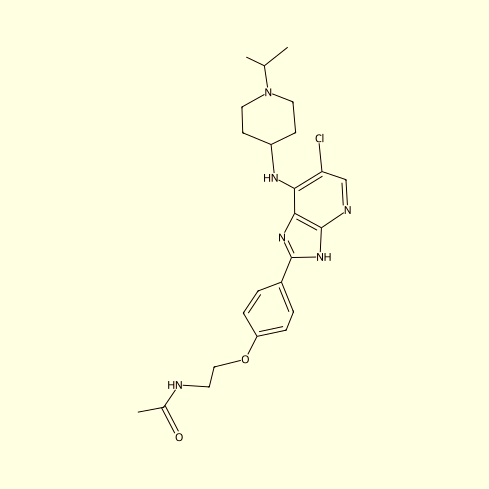 CC(=O)NCCOc1ccc(-c2nc3c(NC4CCN(C(C)C)CC4)c(Cl)cnc3[nH]2)cc1